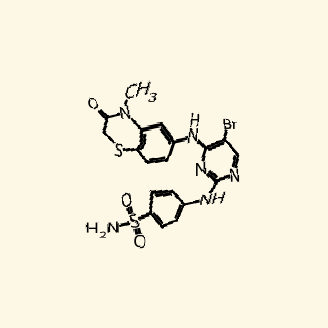 CN1C(=O)CSc2ccc(Nc3nc(Nc4ccc(S(N)(=O)=O)cc4)ncc3Br)cc21